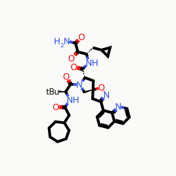 CC(C)(C)[C@H](NC(=O)CC1CCCCCC1)C(=O)N1C[C@@]2(CC(c3cccc4cccnc34)=NO2)C[C@H]1C(=O)N[C@@H](CC1CC1)C(=O)C(N)=O